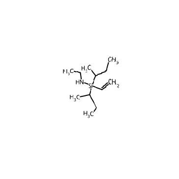 C=C[Si](NCC)(C(C)CC)C(C)CC